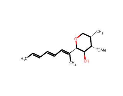 C/C=C/C=C/C=C(\C)[C@@H]1OC[C@H](C)[C@H](OC)[C@H]1O